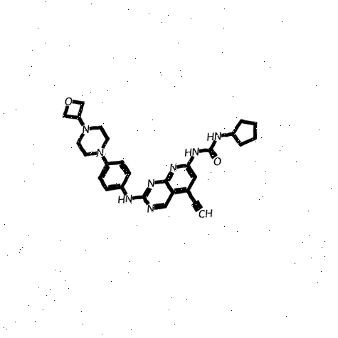 C#Cc1cc(NC(=O)NC2CCCC2)nc2nc(Nc3ccc(N4CCN(C5COC5)CC4)cc3)ncc12